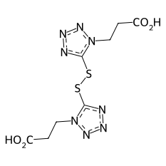 O=C(O)CCn1nnnc1SSc1nnnn1CCC(=O)O